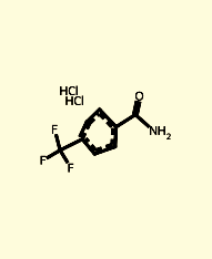 Cl.Cl.NC(=O)c1ccc(C(F)(F)F)cc1